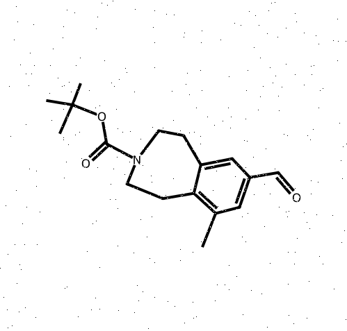 Cc1cc(C=O)cc2c1CCN(C(=O)OC(C)(C)C)CC2